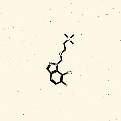 C[Si](C)(C)CCOCn1ncc2ccc(F)c(C#N)c21